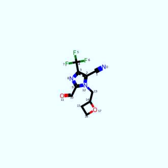 N#Cc1c(C(F)(F)F)nc(C=O)n1CC1CCO1